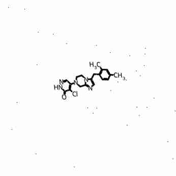 Cc1ccc(Cc2cnc3n2CCN(c2cn[nH]c(=O)c2Cl)C3)c(C)c1